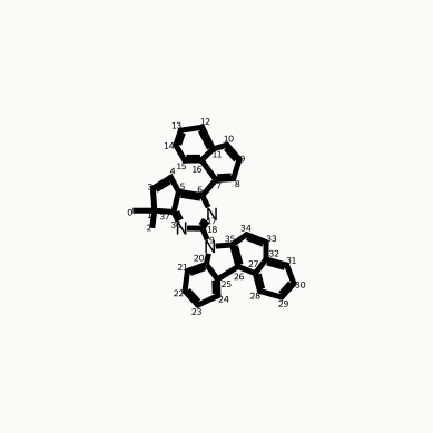 CC1(C)C=Cc2c(-c3cccc4ccccc34)nc(-n3c4ccccc4c4c5ccccc5ccc43)nc21